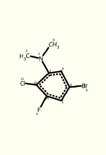 CN(C)c1cc(Br)cc(F)c1Cl